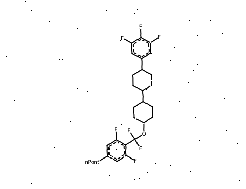 CCCCCc1cc(F)c(C(F)(F)OC2CCC(C3CCC(c4cc(F)c(F)c(F)c4)CC3)CC2)c(F)c1